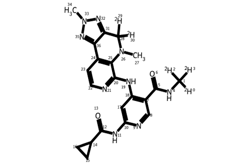 [2H]C([2H])([2H])NC(=O)c1cnc(NC(=O)C2CC2)cc1Nc1nccc2c1N(C)C([2H])([2H])c1nn(C)nc1-2